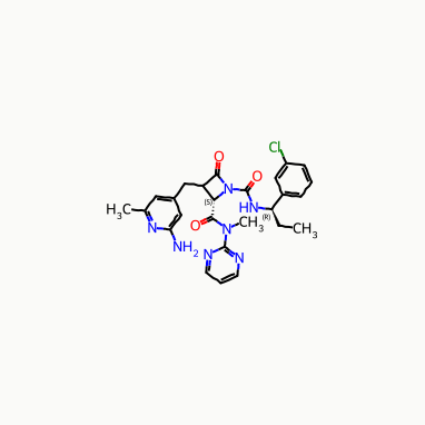 CC[C@@H](NC(=O)N1C(=O)C(Cc2cc(C)nc(N)c2)[C@H]1C(=O)N(C)c1ncccn1)c1cccc(Cl)c1